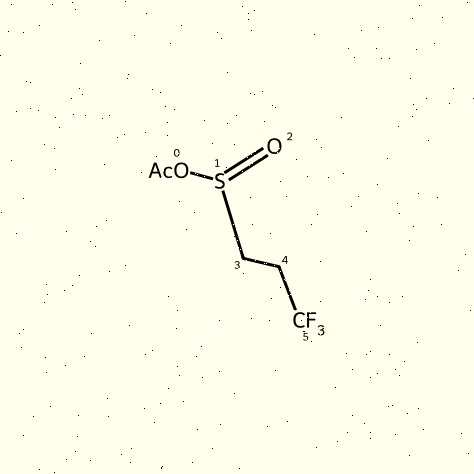 CC(=O)OS(=O)CCC(F)(F)F